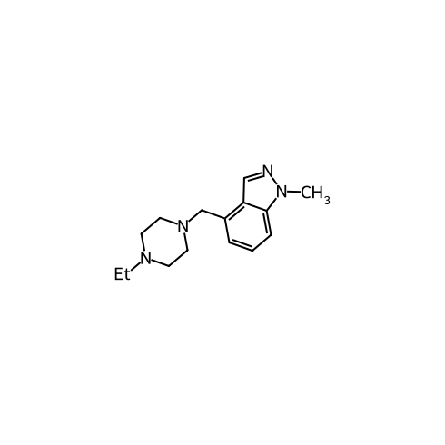 CCN1CCN(Cc2cccc3c2cnn3C)CC1